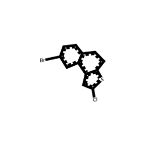 Clc1cc2c(ccc3ccc(Br)cc32)s1